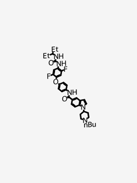 CCCCN1CCC(n2ccc3cc(C(=O)Nc4ccc(Oc5cc(F)c(NC(=O)NC(CC)CC)cc5F)cc4)ccc32)CC1